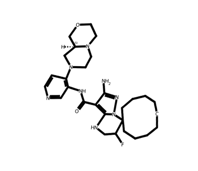 Nc1nn2c(c1C(=O)Nc1cnccc1N1CCN3CCOC[C@@H]3C1)NCC(F)C21CCCCCCCCC1